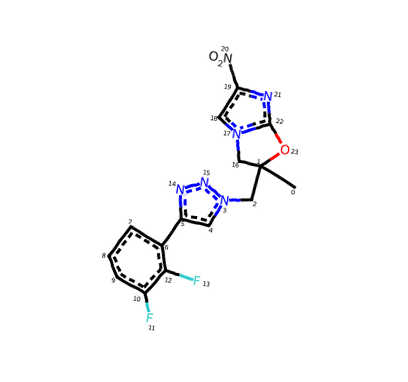 CC1(Cn2cc(-c3cccc(F)c3F)nn2)Cn2cc([N+](=O)[O-])nc2O1